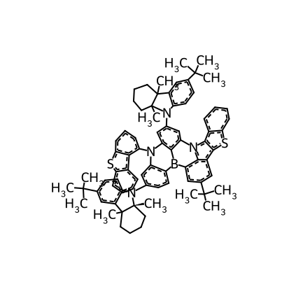 CC(C)(C)c1ccc2c(c1)C1(C)CCCCC1(C)N2c1cc2c3c(c1)-n1c4c(cc(C(C)(C)C)cc4c4sc5ccccc5c41)B3c1ccc(N3c4ccc(C(C)(C)C)cc4C4(C)CCCC[C@@]34C)cc1N2c1cccc2sc3ccccc3c12